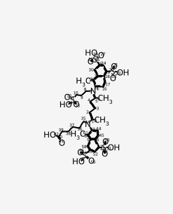 C\C(=C/C=C/C(C)=[N+](\CCCS(=O)(=O)O)c1ccc2c(S(=O)(=O)O)cc(S(=O)(=O)O)cc2c1C)N(CCCCCC(=O)O)c1ccc2c(S(=O)(=O)O)cc(S(=O)(=O)O)cc2c1C